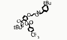 CC(C)(C)OC(=O)c1ccc(OCCON=Cc2cccc(C(C)(C)C)c2)cc1OC(=O)c1ccc(C(F)(F)F)cc1